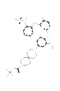 COc1cc(N2CCC3(CCN(C(=O)OC(C)(C)C)CC3)CC2)ccc1Nc1ncc(Cl)c(Nc2ccccc2N(C)S(C)(=O)=O)n1